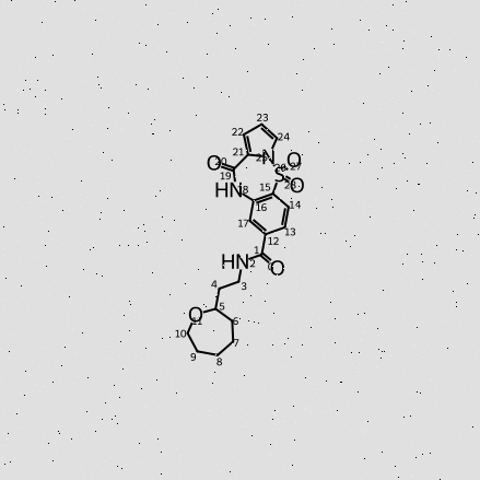 O=C(NCCC1CCCCCO1)c1ccc2c(c1)NC(=O)c1cccn1S2(=O)=O